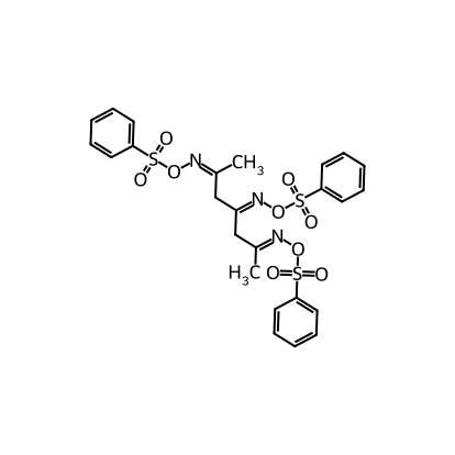 CC(CC(CC(C)=NOS(=O)(=O)c1ccccc1)=NOS(=O)(=O)c1ccccc1)=NOS(=O)(=O)c1ccccc1